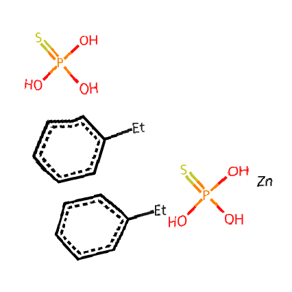 CCc1ccccc1.CCc1ccccc1.OP(O)(O)=S.OP(O)(O)=S.[Zn]